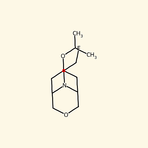 CC(C)OC1CC2COCC(C1)N2CCF